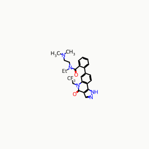 CCN(CCN(C)C)C(=O)c1ccccc1-c1ccc2c3[nH]ncc3c(=O)n(CC(F)(F)F)c2c1